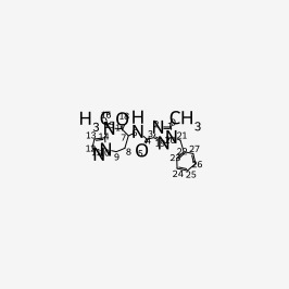 Cc1nc(C(=O)NC2CCn3nccc3N(C)C2=O)nn1Cc1ccccc1